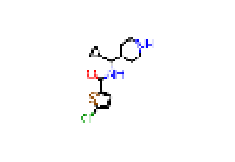 O=C(NC(C1CCNCC1)C1CC1)c1ccc(Cl)s1